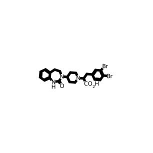 O=C(O)C(Cc1ccc(Br)c(Br)c1)N1CCC(N2CCc3ccccc3NC2=O)CC1